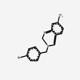 FC(F)(F)c1ccc2c(c1)=NCN(Cc1ccc(Br)cc1)C=2